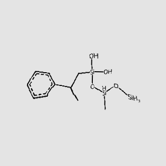 CC(C[Si](O)(O)O[SiH](C)O[SiH3])c1ccccc1